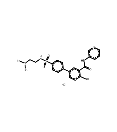 CCN(CC)CCNS(=O)(=O)c1ccc(-c2cnc(N)c(C(=O)Nc3cccnc3)n2)cc1.Cl